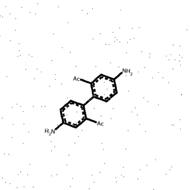 CC(=O)c1cc(N)ccc1-c1ccc(N)cc1C(C)=O